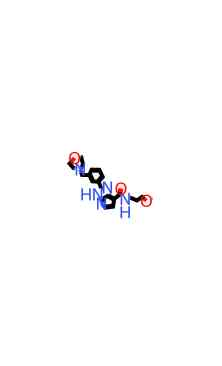 COCCCNC(=O)c1ccnc2[nH]c(-c3cccc(CN4CCOCC4)c3)nc12